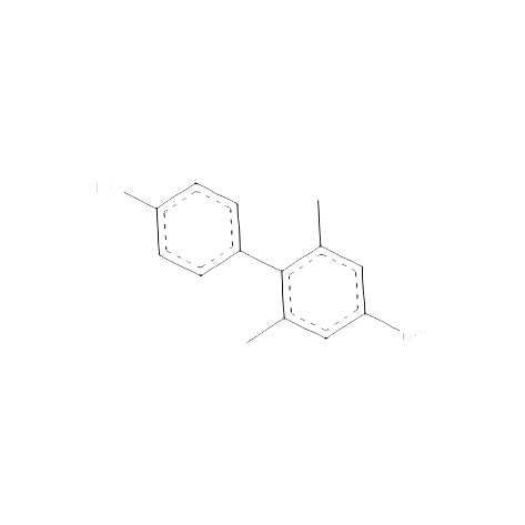 CCCc1cc(C)c(-c2ccc(O)cc2)c(C)c1